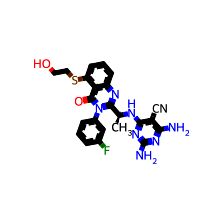 C[C@H](Nc1nc(N)nc(N)c1C#N)c1nc2cccc(SCCO)c2c(=O)n1-c1cccc(F)c1